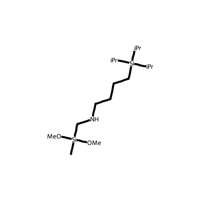 CO[Si](C)(CNCCCC[Si](C(C)C)(C(C)C)C(C)C)OC